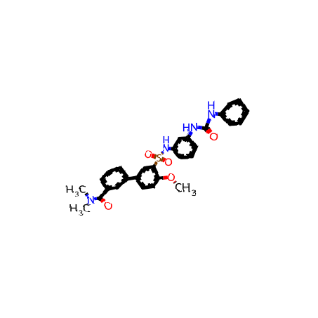 COc1ccc(-c2cccc(C(=O)N(C)C)c2)cc1S(=O)(=O)Nc1cccc(NC(=O)Nc2ccccc2)c1